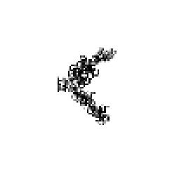 O=P([O-])([O-])OP(=O)([O-])OP(=O)([O-])[O-].O=P([O-])([O-])OP(=O)([O-])OP(=O)([O-])[O-].O=P([O-])([O-])OP(=O)([O-])OP(=O)([O-])[O-].O=P([O-])([O-])OP(=O)([O-])OP(=O)([O-])[O-].O=c1[nH]c(=O)[nH]c(=O)[nH]1.[Zr+4].[Zr+4].[Zr+4].[Zr+4].[Zr+4]